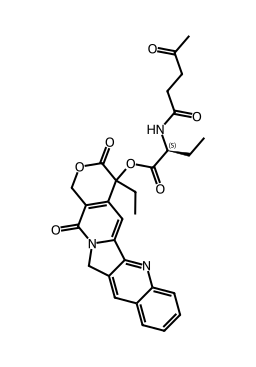 CC[C@H](NC(=O)CCC(C)=O)C(=O)OC1(CC)C(=O)OCc2c1cc1n(c2=O)Cc2cc3ccccc3nc2-1